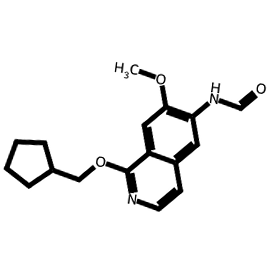 COc1cc2c(OCC3CCCC3)nccc2cc1NC=O